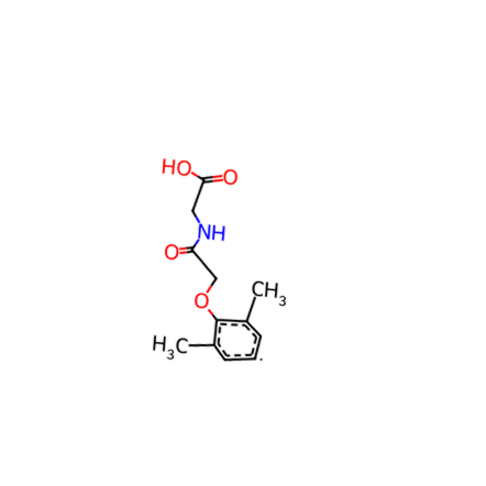 Cc1c[c]cc(C)c1OCC(=O)NCC(=O)O